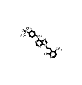 Cc1ccnc(Cl)c1C=Cn1cnc2c(Nc3ccc(P(C)(C)=O)cc3)ncnc21